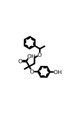 CC(OCCC(C)(Oc1ccc(O)cc1)C(=O)O)c1ccccc1